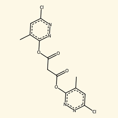 Cc1cc(Cl)nnc1OC(=O)CC(=O)Oc1nnc(Cl)cc1C